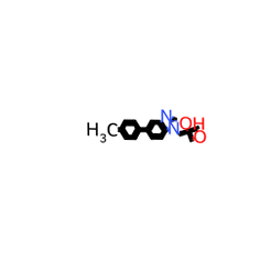 Cc1ccc(-c2ccc3c(c2)ncn3CC2(O)COC2)cc1